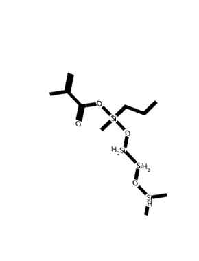 C=C(C)C(=O)O[Si](C)(CCC)O[SiH2][SiH2]O[SiH](C)C